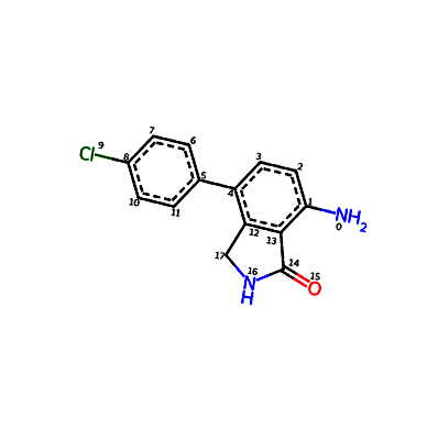 Nc1ccc(-c2ccc(Cl)cc2)c2c1C(=O)NC2